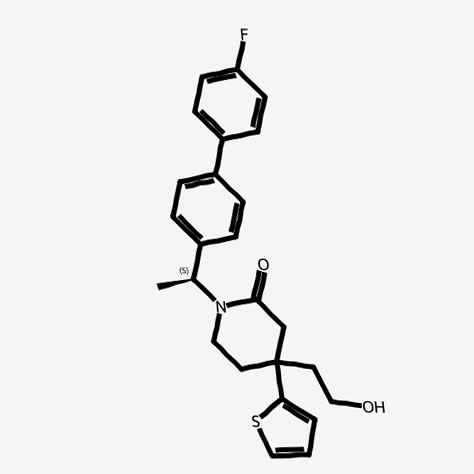 C[C@@H](c1ccc(-c2ccc(F)cc2)cc1)N1CCC(CCO)(c2cccs2)CC1=O